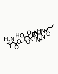 CCCC(=O)Nc1ncnn2c([C@]3(C)O[C@H](COC(=O)[C@@H](N)C(C)C)[C@@H](O)[C@H]3O)ccc12